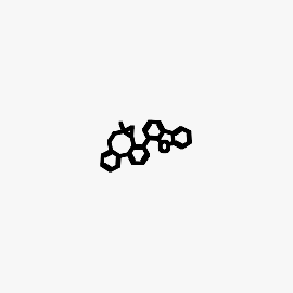 CC12CCc3ccccc3-c3cccc(-c4cccc5c4oc4ccccc45)c3C1C2